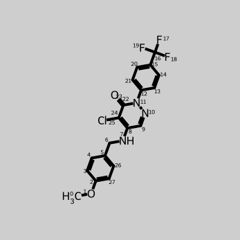 COc1ccc(CNc2cnn(-c3ccc(C(F)(F)F)cc3)c(=O)c2Cl)cc1